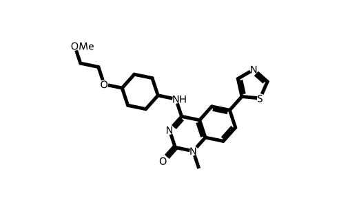 COCCOC1CCC(Nc2nc(=O)n(C)c3ccc(-c4cncs4)cc23)CC1